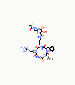 CC(F)C(=O)NCC1CC(O)C(O)C(C(=O)NCCCC[C@@H]2NC(=O)[C@@H](Cc3ccccc3)NC(=O)[C@H](CC(=O)O)NC(=O)CNC(=O)[C@H](CCCNC(=N)N)NC2=O)O1